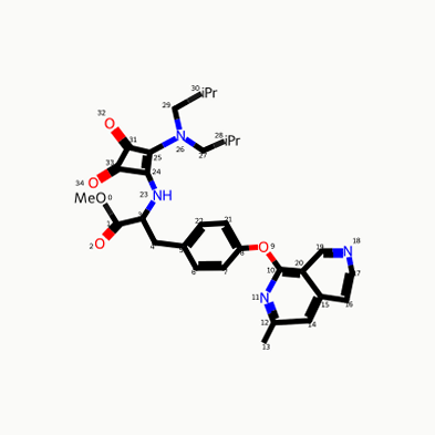 COC(=O)C(Cc1ccc(Oc2nc(C)cc3ccncc23)cc1)Nc1c(N(CC(C)C)CC(C)C)c(=O)c1=O